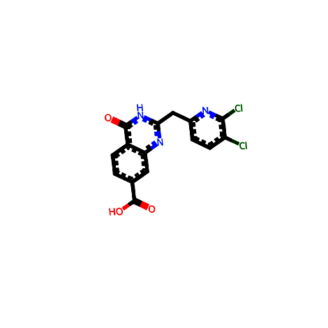 O=C(O)c1ccc2c(=O)[nH]c(Cc3ccc(Cl)c(Cl)n3)nc2c1